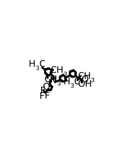 CCc1cc(C)c(CN(Cc2ccc(-c3cccc(C(C)(C)C(=O)O)c3)cc2)Cc2ccc(C(F)(F)F)o2)c(C)c1